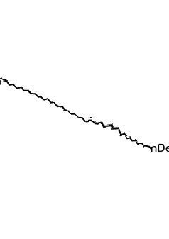 CCCCCCCCCCCCCCCCCCCCCCCCCCC[CH]CCCCCCCCCCCCCCCCCCCCCCCCC(C)C